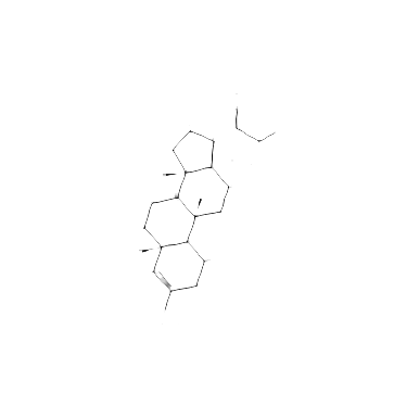 CC(CO)[C@H]1CC[C@H]2[C@@H]3CC[C@H]4C=C(C(=O)O)CC[C@]4(C)[C@H]3CC[C@]12C